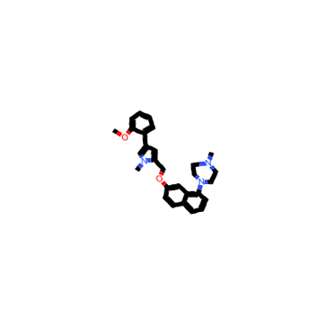 COc1ccccc1-c1cc(COc2ccc3cccc(N4CCN(C)CC4)c3c2)n(C)c1